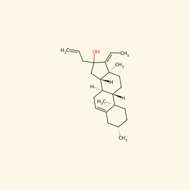 C=CCC1(O)C[C@H]2[C@@H]3CC=C4C[C@@H](C)CC[C@]4(C)[C@H]3CC[C@]2(C)/C1=C\C